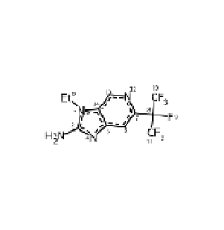 CCn1c(N)nc2cc(C(F)(C(F)(F)F)C(F)(F)F)ncc21